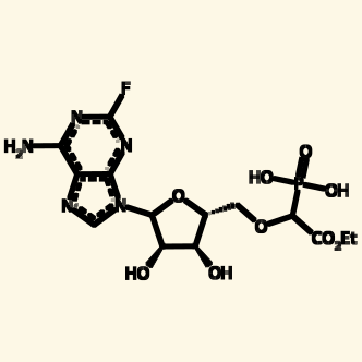 CCOC(=O)C(OC[C@H]1OC(n2cnc3c(N)nc(F)nc32)[C@H](O)[C@@H]1O)P(=O)(O)O